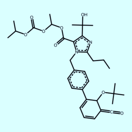 CCCc1nc(C(C)(C)O)c(C(=O)OC(C)OC(=O)OC(C)C)n1Cc1ccc(C2=CC=CC(=C=O)C2OC(C)(C)C)cc1